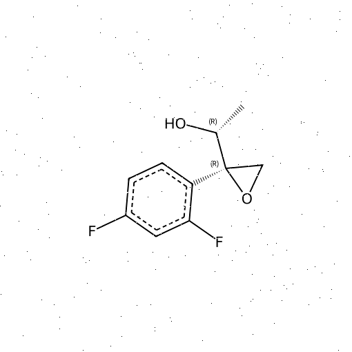 C[C@@H](O)[C@@]1(c2ccc(F)cc2F)CO1